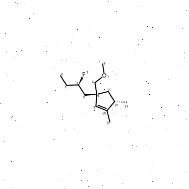 CC[C@@H](F)C[C@]1(COC)C=C(C)[C@@H](C)C1